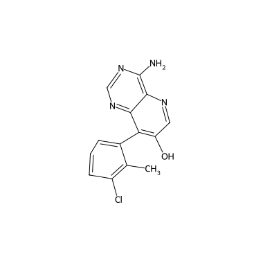 Cc1c(Cl)cccc1-c1c(O)cnc2c(N)ncnc12